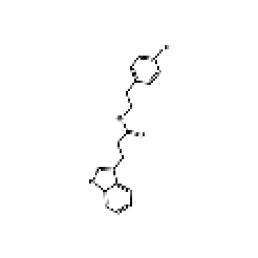 O=C(CCc1c[nH]c2ccccc12)NCCc1ccc(O)cc1